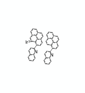 [Ir+3].c1ccc2nc(-c3ccc4ccc5cccc6ccc3c4c56)ccc2c1.c1ccc2nc(-c3ccc4ccc5cccc6ccc3c4c56)ccc2c1